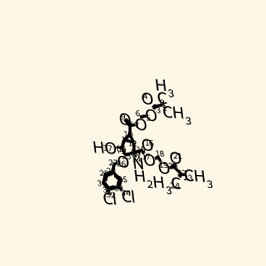 CC(C)C(=O)OCOC(=O)C1C2C1[C@](N)(C(=O)OCOC(=O)C(C)C)C(OCc1ccc(Cl)c(Cl)c1)[C@H]2O